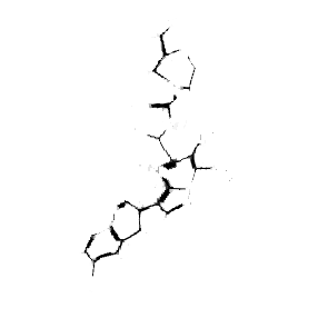 Cc1c(C(C)NC(=O)N2CCOC(CO)C2)nc2c(C3C=Nc4ccc(F)cc4C3)cnn2c1N